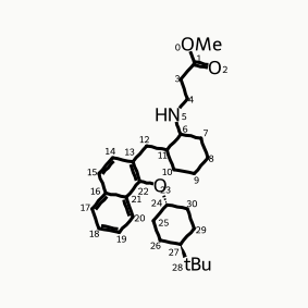 COC(=O)CCNC1CCCCC1Cc1ccc2ccccc2c1O[C@H]1CC[C@H](C(C)(C)C)CC1